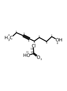 CCC#CCCCCO.O=C(O)Cl